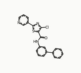 O=C(Nc1cccc(-c2ccccc2)c1)c1sc(-c2cccnc2)nc1Cl